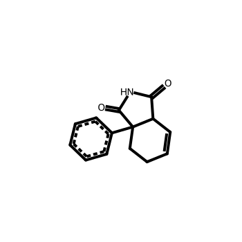 O=C1NC(=O)C2(c3ccccc3)CCC=CC12